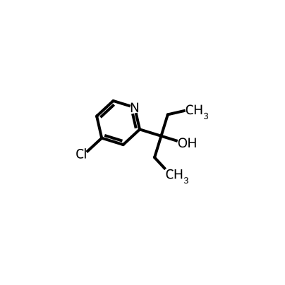 CCC(O)(CC)c1cc(Cl)ccn1